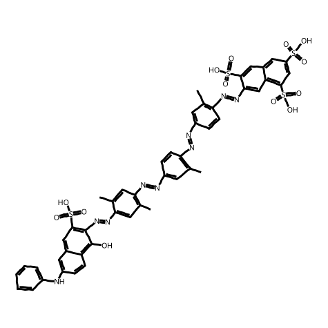 Cc1cc(N=Nc2cc(C)c(N=Nc3c(S(=O)(=O)O)cc4cc(Nc5ccccc5)ccc4c3O)cc2C)ccc1N=Nc1ccc(N=Nc2cc3c(S(=O)(=O)O)cc(S(=O)(=O)O)cc3cc2S(=O)(=O)O)c(C)c1